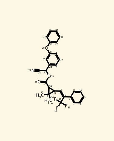 CC1(C)C(C=C(c2ccccc2)C(F)(F)F)C1C(=O)OC(C#N)c1cccc(Oc2ccccc2)c1